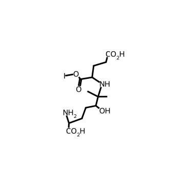 CC(C)(NC(CCC(=O)O)C(=O)OI)C(O)CCC(N)C(=O)O